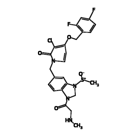 CNCC(=O)N1CN([S+](C)[O-])c2cc(Cn3ccc(OCc4ccc(F)cc4F)c(Cl)c3=O)ccc21